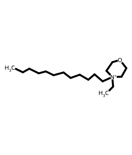 CCCCCCCCCCCC[N+]1(CC)CCOCC1